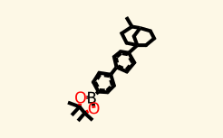 CC1CCC2(c3ccc(-c4ccc(B5OC(C)(C)C(C)(C)O5)cc4)cc3)CCCC1C2